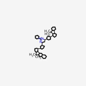 CC1(C)c2cc3ccccc3cc2-c2c(-c3cccc(C4=CC(c5ccc(-c6cccc7c6C(C)(C)c6ccccc6-7)cc5)NC(c5ccccc5)=N4)c3)cccc21